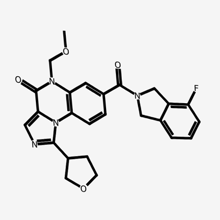 COCn1c(=O)c2cnc(C3CCOC3)n2c2ccc(C(=O)N3Cc4cccc(F)c4C3)cc21